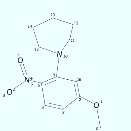 COc1ccc([N+](=O)[O-])c(N2CCCCC2)c1